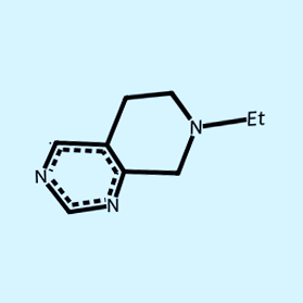 CCN1CCc2[c]ncnc2C1